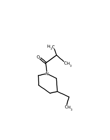 CCC1CCCN(C(=O)C(C)C)C1